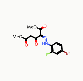 COC(=O)CC(=O)/C(=N\Nc1ccc(Br)cc1F)C(=O)OC